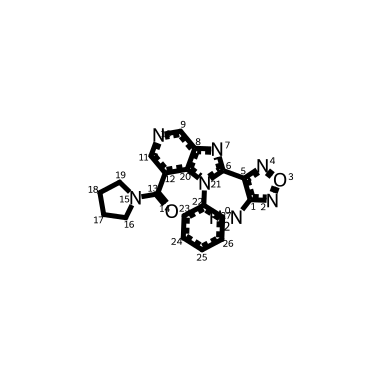 Nc1nonc1-c1nc2cncc(C(=O)N3CCCC3)c2n1-c1ccccc1